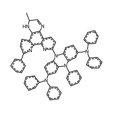 CC1C=Nc2c(c3ccc(-c4ccccc4)nc3c3nc(N4c5ccc(N(c6ccccc6)c6ccccc6)cc5N(c5ccccc5)c5cc(N(c6ccccc6)c6ccccc6)ccc54)ccc23)N1